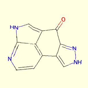 O=C1c2n[nH]cc2-c2ccnc3[nH]cc1c23